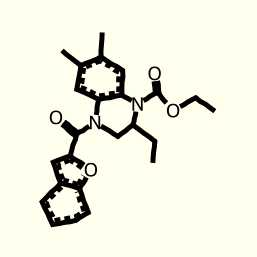 CCOC(=O)N1c2cc(C)c(C)cc2N(C(=O)c2cc3ccccc3o2)CC1CC